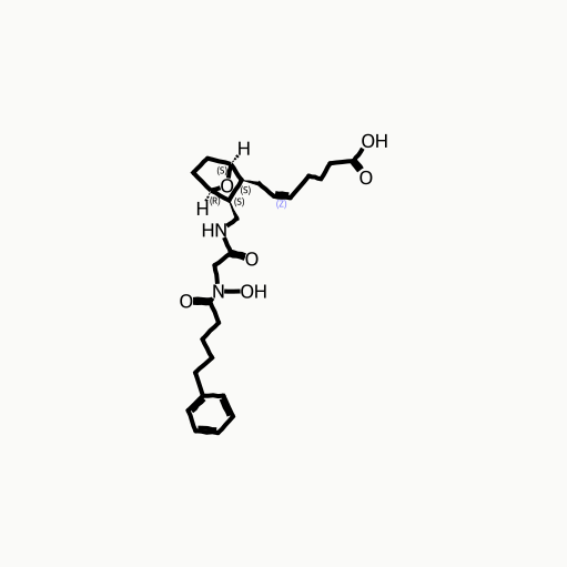 O=C(O)CCC/C=C\C[C@H]1[C@@H](CNC(=O)CN(O)C(=O)CCCCc2ccccc2)[C@H]2CC[C@@H]1O2